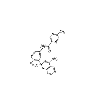 Cc1cnc(C(=O)Nc2ccc(F)c(C3(C)Cc4ccncc4C(N)=N3)c2)cn1